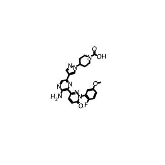 COc1ccc(F)c(-n2nc(-c3nc(-c4cnn(C5CCN(C(=O)O)CC5)c4)cnc3N)ccc2=O)c1